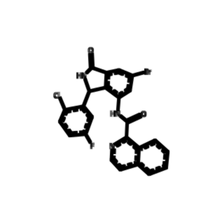 O=C1NC(c2cc(F)ccc2Cl)c2c(NC(=O)c3nccc4ccccc34)cc(Br)cc21